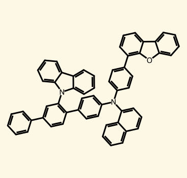 c1ccc(-c2ccc(-c3ccc(N(c4ccc(-c5cccc6c5oc5ccccc56)cc4)c4cccc5ccccc45)cc3)c(-n3c4ccccc4c4ccccc43)c2)cc1